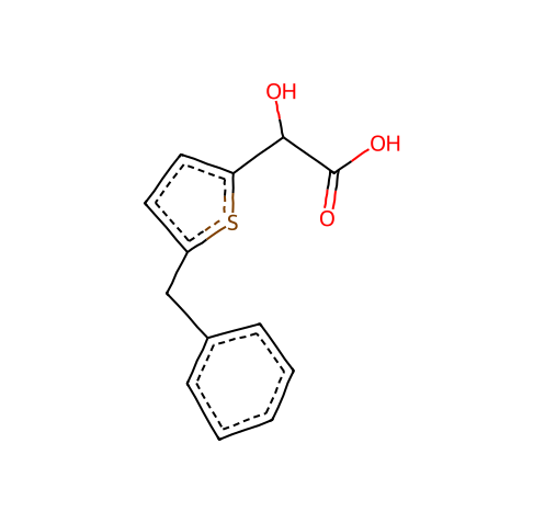 O=C(O)C(O)c1ccc(Cc2ccccc2)s1